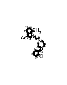 CC(=O)c1cn(CCCN2CCCN(Cc3ccccc3Cl)CC2)c2c(C)cccc12